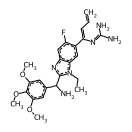 C=C/C=C(\N=C(N)N)c1cc2c(cc1F)nc(C(N)c1cc(OC)c(OC)c(OC)c1)n2CC